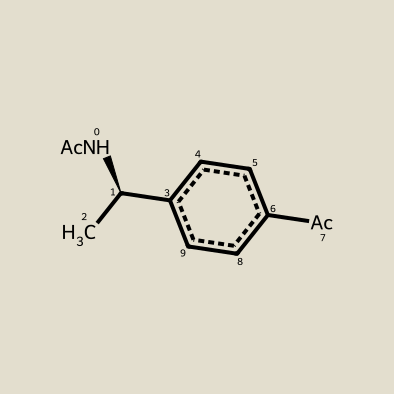 CC(=O)N[C@H](C)c1ccc(C(C)=O)cc1